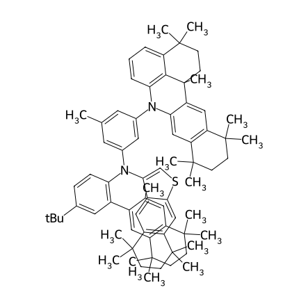 Cc1cc(N2c3cc4c(cc3C3(C)CCC(C)(C)c5cccc2c53)C(C)(C)CCC4(C)C)cc(N(c2ccc(C(C)(C)C)cc2-c2cc3c(cc2C)C(C)(C)CCC3(C)C)c2csc3cc4c(cc23)C(C)(C)CCC4(C)C)c1